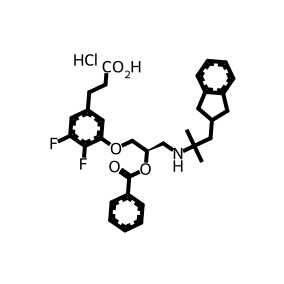 CC(C)(CC1Cc2ccccc2C1)NC[C@H](COc1cc(CCC(=O)O)cc(F)c1F)OC(=O)c1ccccc1.Cl